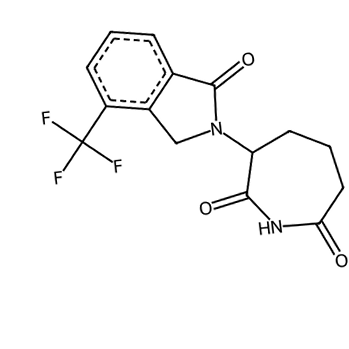 O=C1CCCC(N2Cc3c(cccc3C(F)(F)F)C2=O)C(=O)N1